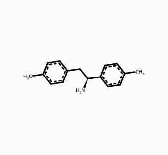 Cc1ccc(C[C@H](N)c2ccc(C)cc2)cc1